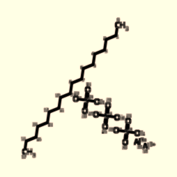 CCCCCCCCCCCCCCCCCC.O=S(=O)([O-])[O-].O=S(=O)([O-])[O-].O=S(=O)([O-])[O-].[Al+3].[Al+3]